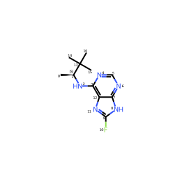 C[C@H](Nc1ncnc2[nH]c(F)nc12)C(C)(C)C